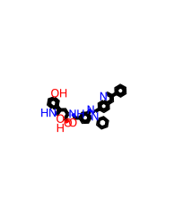 O=C(NC(Cc1c[nH]c2ccc(O)cc12)C(=O)O)c1ccc2c(c1)nc(-c1ccc3cc(-c4ccccc4)cnc3c1)n2C1CCCCC1